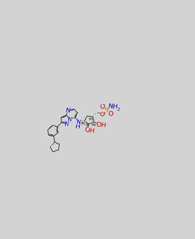 NS(=O)(=O)OC[C@H]1C[C@@H](Nc2ccnc3cc(-c4cccc(C5CCCC5)c4)nn23)[C@H](O)[C@@H]1O